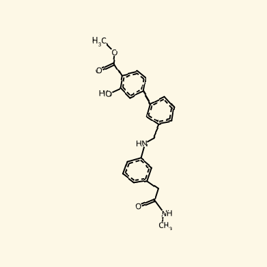 CNC(=O)Cc1cccc(NCc2cccc(-c3ccc(C(=O)OC)c(O)c3)c2)c1